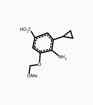 COCOc1cc(C(=O)O)cc(C2CC2)c1N